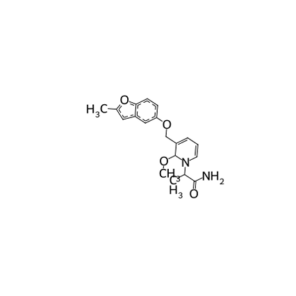 COC1C(COc2ccc3oc(C)cc3c2)=CC=CN1C(C)C(N)=O